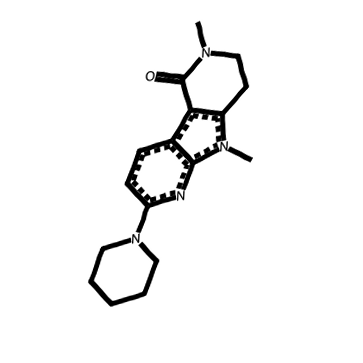 CN1CCc2c(c3ccc(N4CCCCC4)nc3n2C)C1=O